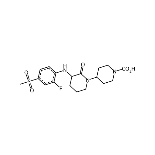 CS(=O)(=O)c1ccc(NC2CCCN(C3CCN(C(=O)O)CC3)C2=O)c(F)c1